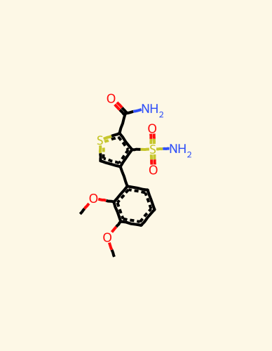 COc1cccc(-c2csc(C(N)=O)c2S(N)(=O)=O)c1OC